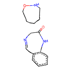 C1CCNOCC1.O=C1CN=Cc2ccccc2N1